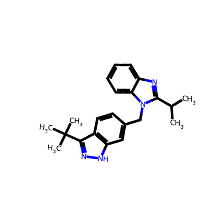 CC(C)c1nc2ccccc2n1Cc1ccc2c(C(C)(C)C)n[nH]c2c1